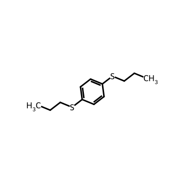 CCCSc1ccc(SCCC)cc1